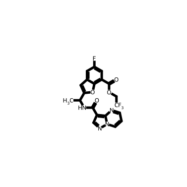 CC(NC(=O)c1cnn2cccnc12)c1cc2cc(F)cc(C(=O)OCC(F)(F)F)c2o1